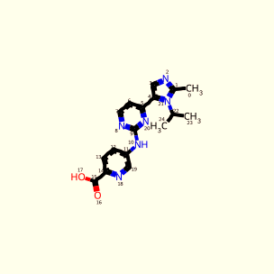 Cc1ncc(-c2ccnc(Nc3ccc(C(=O)O)nc3)n2)n1C(C)C